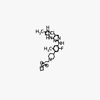 Cc1cc(Nc2nc(Nc3cc(C)c(C4CCN(CCS(=O)(=O)N5CCC5)CC4)cc3F)ncc2Cl)n[nH]1